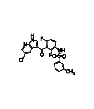 Cc1cccc(S(=O)(=O)Nc2ccc(F)c(C(=O)c3c[nH]c4ncc(Cl)cc34)c2F)c1